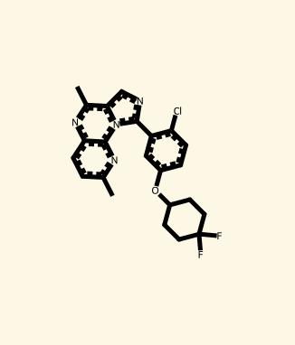 Cc1ccc2nc(C)c3cnc(-c4cc(OC5CCC(F)(F)CC5)ccc4Cl)n3c2n1